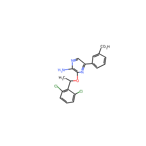 CC(Oc1nc(-c2cccc(C(=O)O)c2)cnc1N)c1c(Cl)cccc1Cl